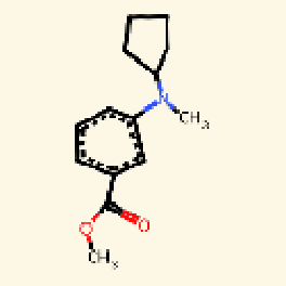 COC(=O)c1cccc(N(C)C2CCCC2)c1